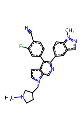 CN1CCC(Cn2ccc3c(-c4ccc(C#N)c(F)c4)c(-c4ccc5c(cnn5C)c4)ncc32)C1